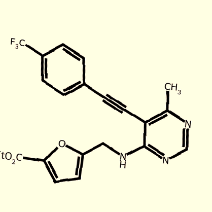 CCOC(=O)c1ccc(CNc2ncnc(C)c2C#Cc2ccc(C(F)(F)F)cc2)o1